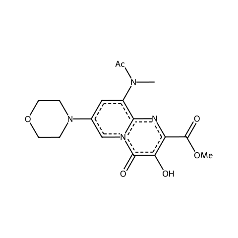 COC(=O)c1nc2c(N(C)C(C)=O)cc(N3CCOCC3)cn2c(=O)c1O